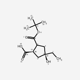 CC[C@@]1(O)CC(C(=O)OC(C)(C)C)[C@H](C(=O)O)C1